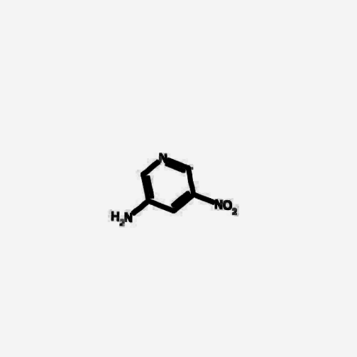 Nc1cn[c]c([N+](=O)[O-])c1